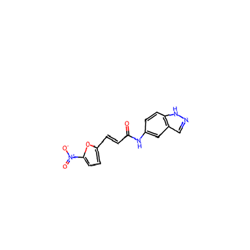 O=C(C=Cc1ccc([N+](=O)[O-])o1)Nc1ccc2[nH]ncc2c1